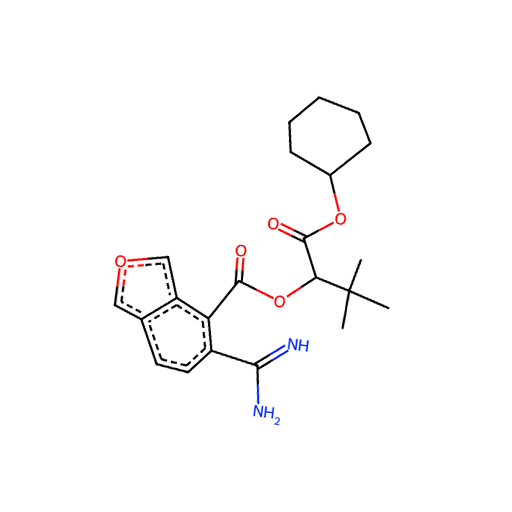 CC(C)(C)C(OC(=O)c1c(C(=N)N)ccc2cocc12)C(=O)OC1CCCCC1